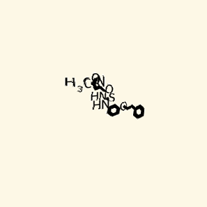 Cc1cc(C(=O)NC(=S)Nc2cccc(OCCc3ccccc3)c2)no1